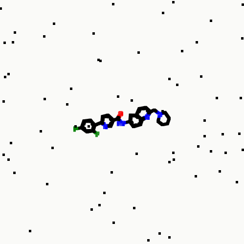 O=C(Nc1ccc2nc(CN3CCCCC3)ccc2c1)c1ccc(-c2ccc(F)cc2F)nc1